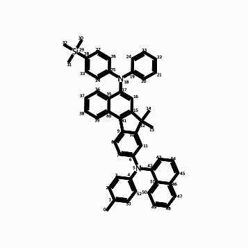 Cc1ccc(N(c2ccc3c(c2)C(C)(C)c2cc(N(c4ccccc4)c4ccc([Si](C)(C)C)cc4)c4ccccc4c2-3)c2cccc3ccccc23)cc1